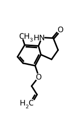 C=CCOc1ccc(C)c2c1CCC(=O)N2